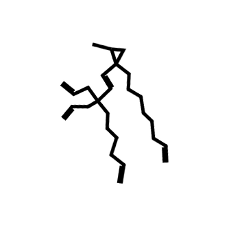 C=CCCCCCCC1(C=CC(CC=C)(CC=C)CCCCC=C)CC1C